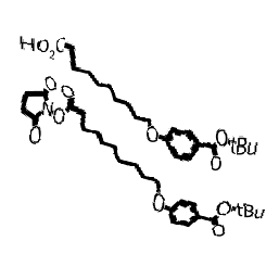 CC(C)(C)OC(=O)c1ccc(OCCCCCCCCCC(=O)O)cc1.CC(C)(C)OC(=O)c1ccc(OCCCCCCCCCC(=O)ON2C(=O)CCC2=O)cc1